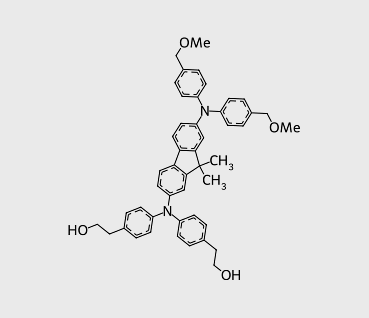 COCc1ccc(N(c2ccc(COC)cc2)c2ccc3c(c2)C(C)(C)c2cc(N(c4ccc(CCO)cc4)c4ccc(CCO)cc4)ccc2-3)cc1